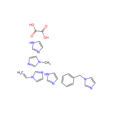 C=Cn1ccnc1.Cn1ccnc1.O=C(O)C(=O)O.c1c[nH]cn1.c1c[nH]cn1.c1ccc(Cn2ccnc2)cc1